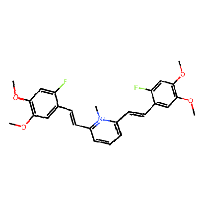 COc1cc(F)c(/C=C/c2cccc(/C=C/c3cc(OC)c(OC)cc3F)[n+]2C)cc1OC